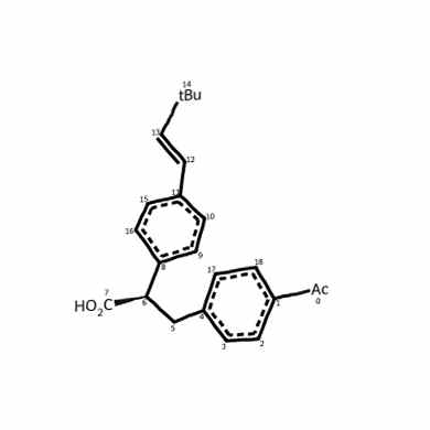 CC(=O)c1ccc(C[C@@H](C(=O)O)c2ccc(/C=C/C(C)(C)C)cc2)cc1